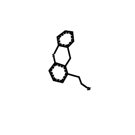 BrCCc1cccc2c1Cc1ccccc1S2